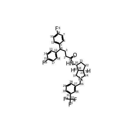 O=C(CCC(c1ccc(F)cc1)c1ccc(F)cc1)N[C@H]1CC[C@H]2CN(Cc3cccc(C(F)(F)F)c3)C[C@H]21